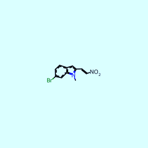 Cn1c(C=C[N+](=O)[O-])cc2ccc(Br)cc21